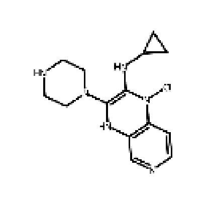 ClN1C(NC2CC2)=C(N2CCNCC2)Nc2cnccc21